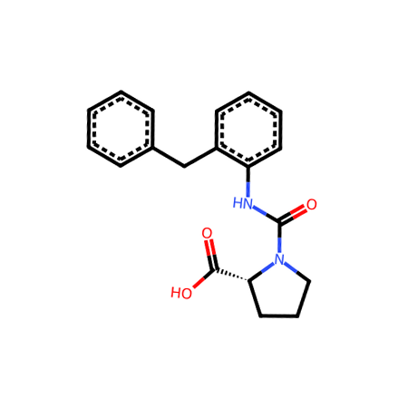 O=C(O)[C@H]1CCCN1C(=O)Nc1ccccc1Cc1ccccc1